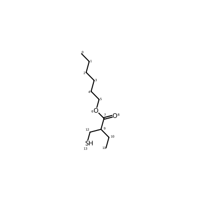 CCCCCCOC(=O)C(CC)CS